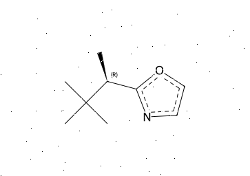 C[C@@H](c1ncco1)C(C)(C)C